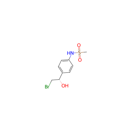 CS(=O)(=O)Nc1ccc([C@H](O)CBr)cc1